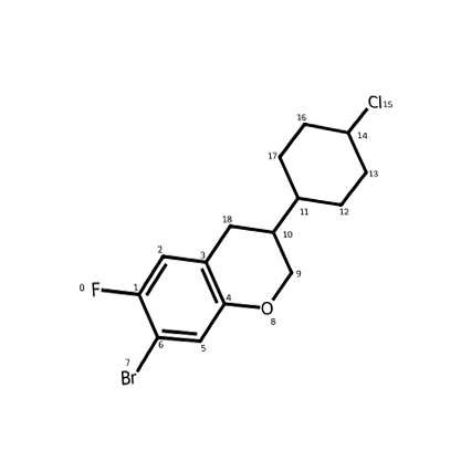 Fc1cc2c(cc1Br)OCC(C1CCC(Cl)CC1)C2